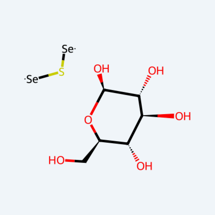 OC[C@H]1O[C@@H](O)[C@H](O)[C@@H](O)[C@@H]1O.[Se]S[Se]